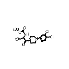 CC(C)(C)OC(=O)NC(C(=O)N1CCN(c2ccc(Cl)c(Cl)c2)CC1)C(C)(C)C